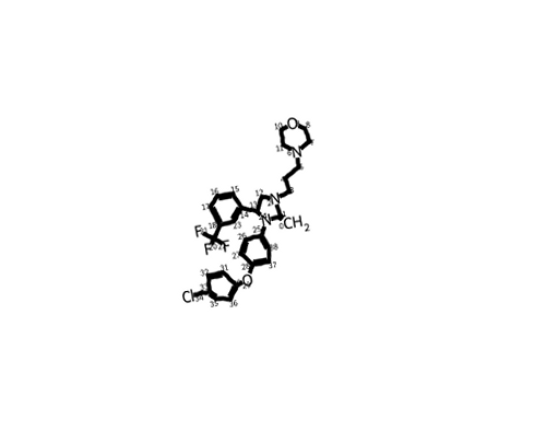 C=C1N(CCCN2CCOCC2)CC(c2cccc(C(F)(F)F)c2)N1c1ccc(Oc2ccc(Cl)cc2)cc1